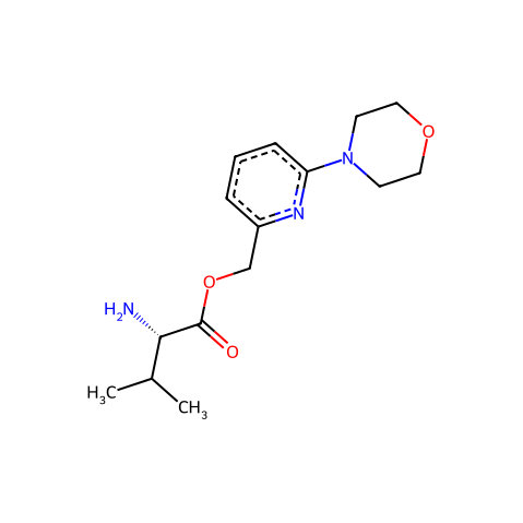 CC(C)[C@H](N)C(=O)OCc1cccc(N2CCOCC2)n1